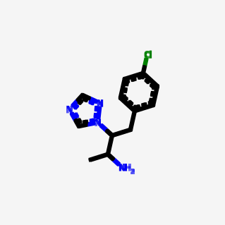 CC(N)C(Cc1ccc(Cl)cc1)n1cncn1